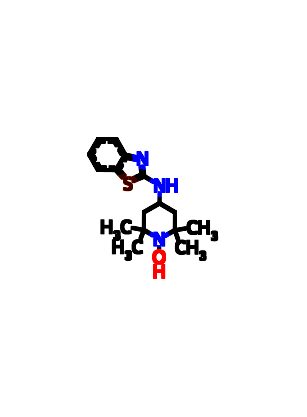 CC1(C)CC(Nc2nc3ccccc3s2)CC(C)(C)N1O